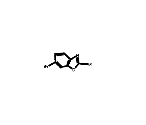 CC(C)c1ccc2nc(C(C)C)oc2c1